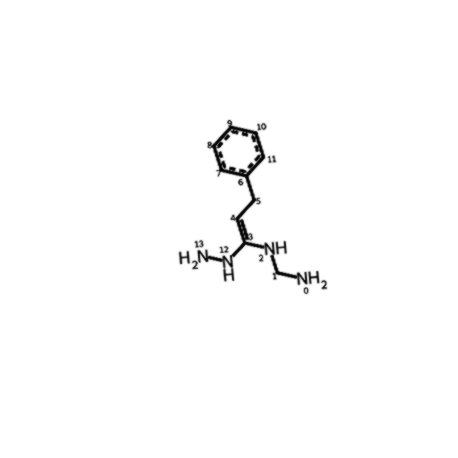 NCN/C(=C\Cc1ccccc1)NN